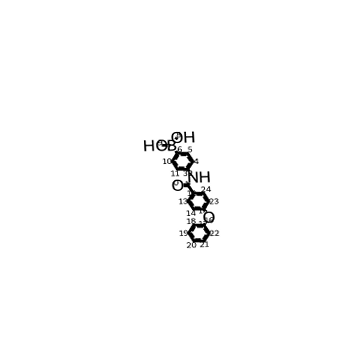 O=C(Nc1ccc(B(O)O)cc1)c1ccc(Oc2ccccc2)cc1